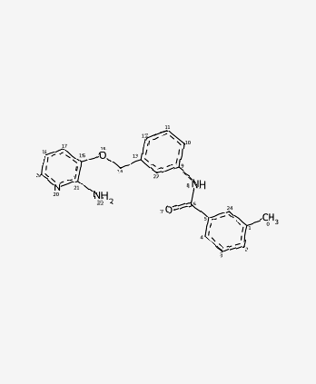 Cc1cccc(C(=O)Nc2cccc(COc3cccnc3N)c2)c1